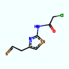 O=C(CCl)Nc1nc(CC=S)cs1